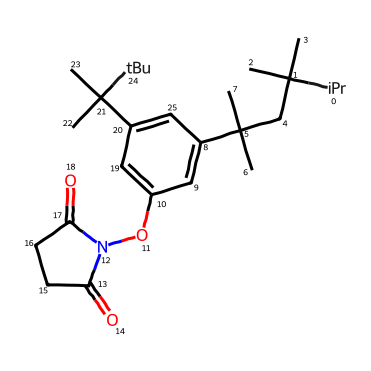 CC(C)C(C)(C)CC(C)(C)c1cc(ON2C(=O)CCC2=O)cc(C(C)(C)C(C)(C)C)c1